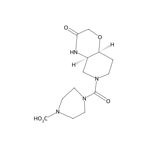 O=C1CO[C@H]2CCN(C(=O)N3CCN(C(=O)O)CC3)C[C@H]2N1